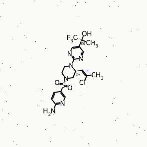 C/C(Cl)=C/[C@H]1CN(S(=O)(=O)c2ccc(N)nc2)CCN1c1ncc([C@](C)(O)C(F)(F)F)cn1